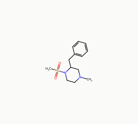 CN1CCN(S(C)(=O)=O)C(Cc2ccccc2)C1